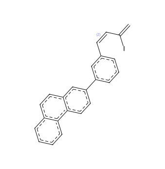 C=C(I)/C=C\c1cccc(-c2ccc3c(ccc4ccccc43)c2)c1